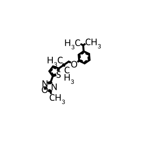 Cc1nc(-c2ccc(C(C)(C)COc3cccc(C(C)C)c3)s2)no1